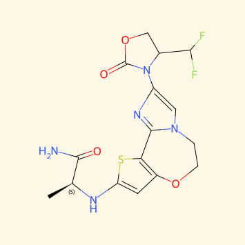 C[C@H](Nc1cc2c(s1)-c1nc(N3C(=O)OCC3C(F)F)cn1CCO2)C(N)=O